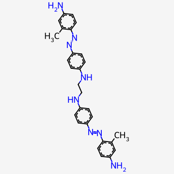 Cc1cc(N)ccc1/N=N/c1ccc(NCCNc2ccc(/N=N/c3ccc(N)cc3C)cc2)cc1